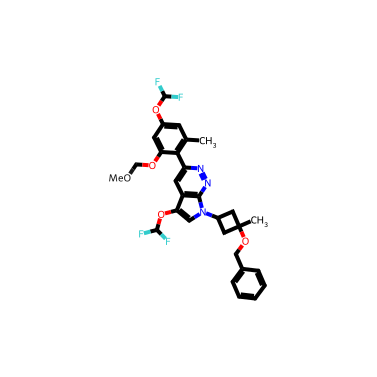 COCOc1cc(OC(F)F)cc(C)c1-c1cc2c(OC(F)F)cn(C3CC(C)(OCc4ccccc4)C3)c2nn1